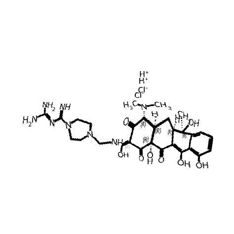 CN(C)[C@H]1C(=O)/C(=C(/O)NCN2CCN(C(=N)N=C(N)N)CC2)C(=O)[C@]2(O)C(=O)C3=C(O)c4c(O)cccc4[C@](C)(O)[C@@H]3C[C@H]12.[Cl-].[Cl-].[H+].[H+]